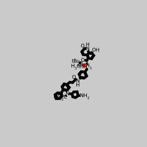 CC(C)(C)[Si](C)(C)O[C@@H](CNCc1ccc(NC(=O)CCc2ccc(-c3ccccc3)c(N(C(=O)O)C3CCC(N)CC3)c2)cc1)c1ccc(O)c2[nH]c(=O)ccc12